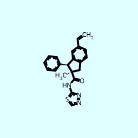 C=Cc1ccc2c(c1)[C@H](c1ccccc1)[C@](C)(C(=O)Nc1nncs1)C2